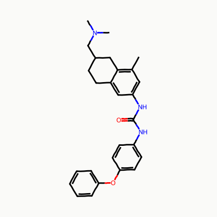 Cc1cc(NC(=O)Nc2ccc(Oc3ccccc3)cc2)cc2c1CC(CN(C)C)CC2